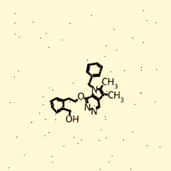 Cc1c(C)n(Cc2ccccc2)c2c(OCCc3ccccc3CO)nncc12